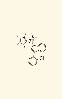 CC1=C(C)C(C)[C]([Zr]([CH]2C=C(c3ccccc3Cl)c3ccccc32)=[Si](C)C)=C1C